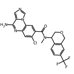 CN(C(=O)c1cc2c(cc1Cl)nc(N)c1cncn12)C1COCc2cc(C(F)(F)F)ccc21